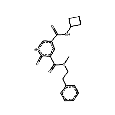 CN(CCc1ccccc1)C(=O)c1cc(C(=O)NC2CCC2)c[nH]c1=O